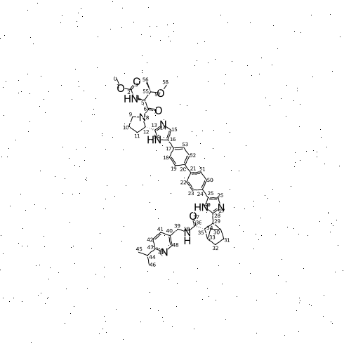 COC(=O)N[C@H](C(=O)N1CCC[C@H]1c1ncc(-c2ccc(-c3ccc(-c4cnc(C5C6CCC(C6)[C@@H]5C(=O)NCc5ccc(C(C)C)nc5)[nH]4)cc3)cc2)[nH]1)[C@@H](C)OC